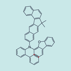 CC1(C)c2cc3cc(N(c4ccccc4-c4ccccc4)c4cccc5c4oc4ccccc45)ccc3cc2-c2c1ccc1ccccc21